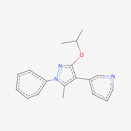 Cc1c(-c2cccnc2)c(OC(C)C)nn1-c1ccccc1